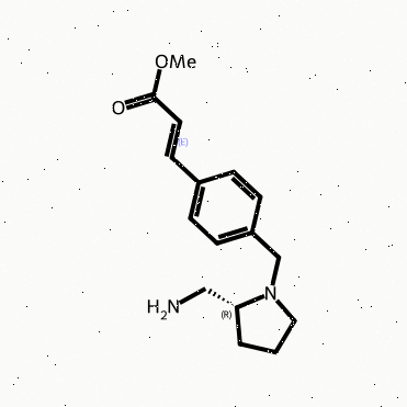 COC(=O)/C=C/c1ccc(CN2CCC[C@@H]2CN)cc1